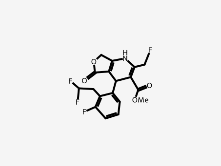 COC(=O)C1=C(CF)NC2=C(C(=O)OC2)C1c1cccc(F)c1CC(F)F